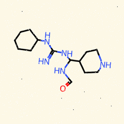 N=C(NC1CCCCC1)NC(NC=O)C1CCNCC1